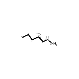 CCCCCNN.[O]